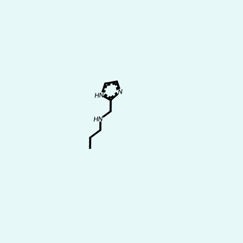 CCCNCc1ncc[nH]1